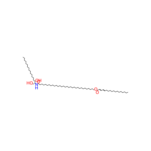 CCCCCCCCCCCCCC=CC=CC(=O)OCCCCCCCCCCCCCCCCCCCCCCCCCCCCCCCC(=O)N[C@@H](CO)[C@H](O)CCCCCCCCCCCCCCC